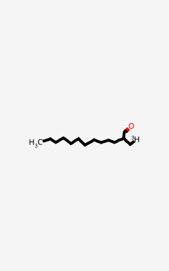 [3H]CC(C=O)CCCCCCCCCCC